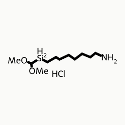 COC(OC)[SiH2]CCCCCCCCN.Cl